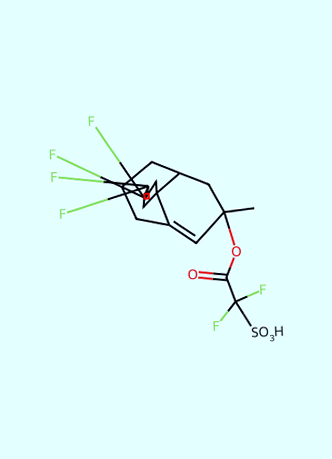 CC1(OC(=O)C(F)(F)S(=O)(=O)O)C=C2CCCC(C1)C21CCC(F)(F)C(F)(F)CC1